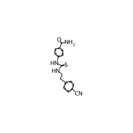 N#Cc1ccc(CCNC(=S)Nc2ccc(C(N)=O)cc2)cc1